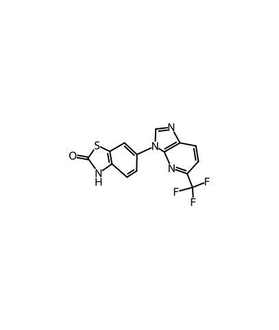 O=c1[nH]c2ccc(-n3cnc4ccc(C(F)(F)F)nc43)cc2s1